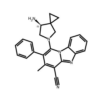 Cc1c(-c2ccccc2)c(N2C[C@@H](N)C3(CC3)C2)n2c(nc3ccccc32)c1C#N